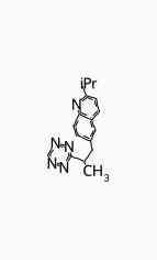 CC(C)c1ccc2cc(CC(C)c3nncnn3)ccc2n1